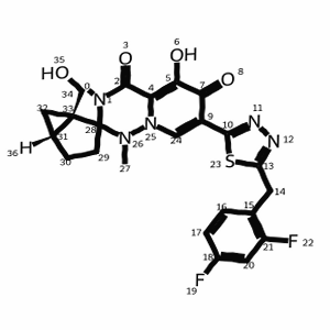 CN1C(=O)c2c(O)c(=O)c(-c3nnc(Cc4ccc(F)cc4F)s3)cn2N(C)C12CC[C@@H]1C[C@@]12CO